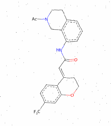 CC(=O)N1CCc2cccc(NC(=O)/C=C3\CCOc4cc(C(F)(F)F)ccc43)c2C1